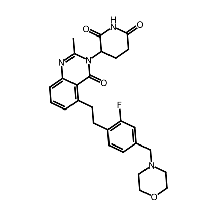 Cc1nc2cccc(CCc3ccc(CN4CCOCC4)cc3F)c2c(=O)n1C1CCC(=O)NC1=O